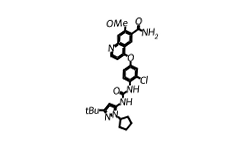 COc1cc2nccc(Oc3ccc(NC(=O)Nc4cc(C(C)(C)C)nn4C4CCCC4)c(Cl)c3)c2cc1C(N)=O